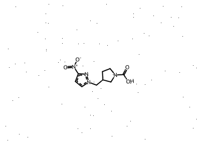 O=C(O)N1CCC(Cn2ccc([N+](=O)[O-])n2)C1